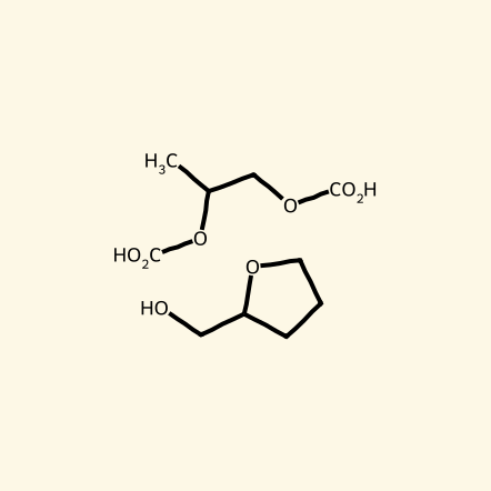 CC(COC(=O)O)OC(=O)O.OCC1CCCO1